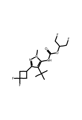 Cn1nc(C2CC(F)(F)C2)c(C(C)(C)C)c1NC(=O)OC(CF)CF